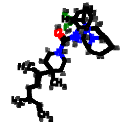 C=C/C(C)=C\C=C(/C)C1(C)CCN(C(=O)N[C@@H]2[C@@H](N3C4CCC3CN(C(C)C)C4)CCCC2(F)F)CC1